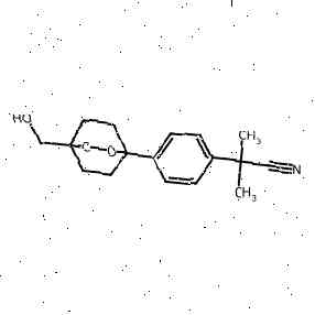 CC(C)(C#N)c1ccc(C23CCC(CO)(CC2)CO3)cc1